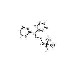 O=P(O)(O)OCCC(c1ccccc1)c1ccccc1